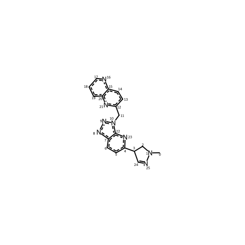 CN1CC(c2ccc3nnn(Cc4ccc5ncccc5n4)c3n2)C=N1